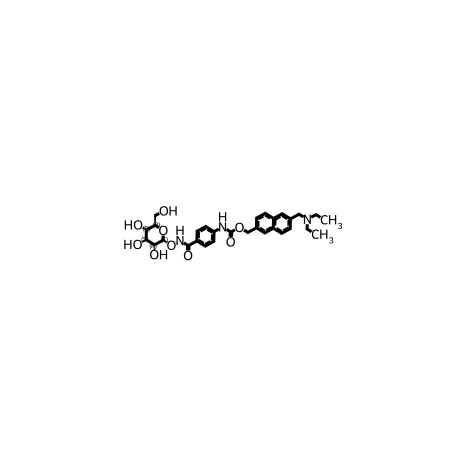 CCN(CC)Cc1ccc2cc(COC(=O)Nc3ccc(C(=O)NO[C@@H]4O[C@H](CO)[C@H](O)[C@H](O)[C@H]4O)cc3)ccc2c1